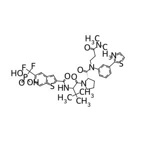 CN(C)C(=O)CCN(C(=O)[C@@H]1CCCN1C(=O)C(NC(=O)c1cc2cc(C(F)(F)P(=O)(O)O)ccc2s1)C(C)(C)C)c1cccc(-c2nccs2)c1